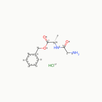 C[C@H](NC(=O)CN)C(=O)OCc1ccccc1.Cl